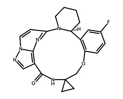 O=C1NC2(CC2)COc2ccc(F)cc2[C@@H]2CCCCN2c2ccn3ncc1c3n2